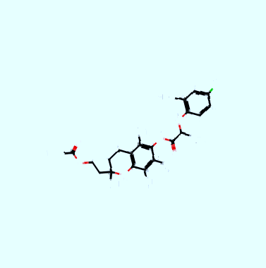 CC(=O)OCCC1(C)CCc2c(C)c(OC(=O)C(C)Oc3ccc(Cl)cc3C)c(C)c(C)c2O1